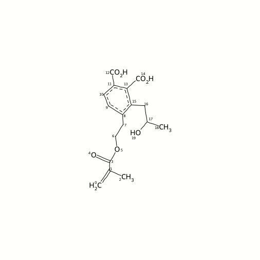 C=C(C)C(=O)OCCc1ccc(C(=O)O)c(C(=O)O)c1CC(C)O